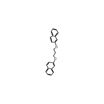 c1ccc2cc(OCCCOc3ccc4ccccc4c3)ccc2c1